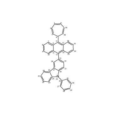 C1=CC=CC(c2c3ccccc3c(-c3ccc4c(c3)c3ccccc3n4-c3ccccc3)c3ccccc23)C=C1